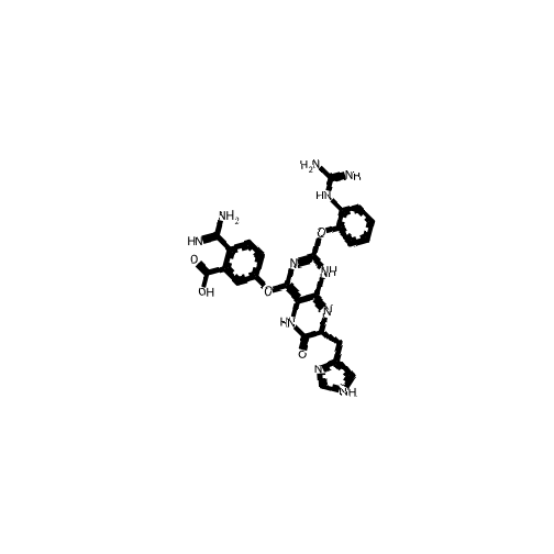 N=C(N)Nc1ccccc1OC1=NC(Oc2ccc(C(=N)N)c(C(=O)O)c2)=C2NC(=O)C(Cc3c[nH]cn3)N=C2N1